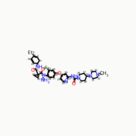 CCC1=CCC(NC(=O)C2(C(=O)N(N)c3ccc(Oc4ccnc(NC(=O)N5CCC(N6CCN(C)CC6)CC5)c4)cc3F)CC2)C=C1